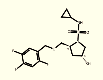 O=S(=O)(NC1CC1)N1C[C@H](S)C[C@H]1COCc1cc(F)c(F)cc1F